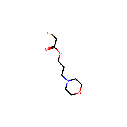 O=C(CS)OCCCN1CCOCC1